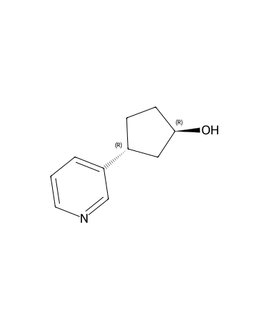 O[C@@H]1CC[C@@H](c2cccnc2)C1